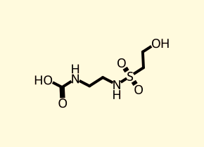 O=C(O)NCCNS(=O)(=O)CCO